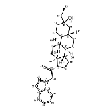 C[C@]12CC[C@H]3[C@@H](CC[C@H]4C[C@@](O)(CF)CC[C@@H]43)[C@@H]1CC[C@@H]2C(=O)Cn1ncc2ncccc21